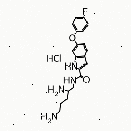 Cl.NCCCC(N)CNC(=O)c1cc2ccc(Oc3ccc(F)cc3)cc2[nH]1